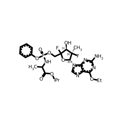 CCOc1nc(N)nc2c1ncn2[C@@H]1OC(F)(COP(=O)(NC(C)C(=O)OC(C)C)Oc2ccccc2)[C@@H](O)[C@@]1(C)F